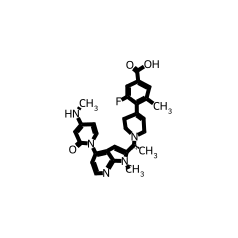 CNc1ccn(-c2ccnc3c2cc([C@@H](C)N2CC=C(c4c(C)cc(C(=O)O)cc4F)CC2)n3C)c(=O)c1